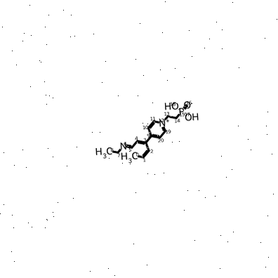 C\C=C/C(=C\C=N\CC)c1cc[n+](CCP(=O)(O)O)cc1